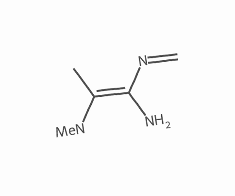 C=N/C(N)=C(\C)NC